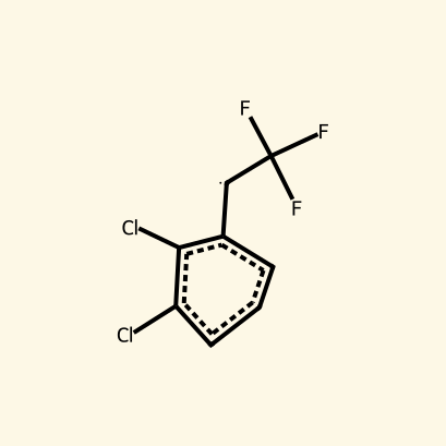 FC(F)(F)[CH]c1cccc(Cl)c1Cl